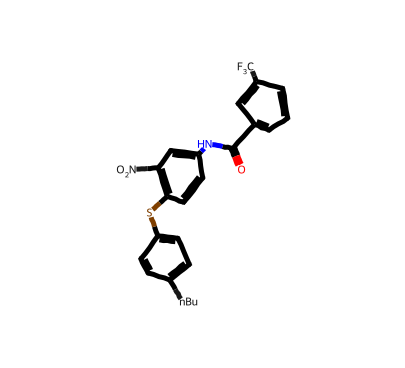 CCCCc1ccc(Sc2ccc(NC(=O)c3cccc(C(F)(F)F)c3)cc2[N+](=O)[O-])cc1